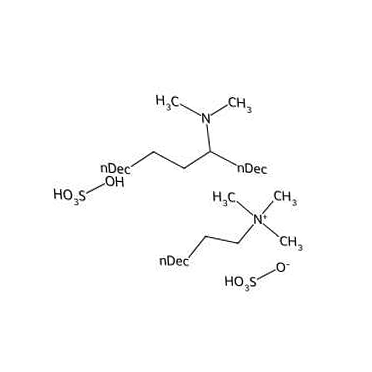 CCCCCCCCCCCCC(CCCCCCCCCC)N(C)C.CCCCCCCCCCCC[N+](C)(C)C.O=S(=O)(O)O.O=S(=O)([O-])O